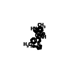 Cc1ccc(S(=O)(=O)NC(CCn2cccc2C#N)C(=O)N2CCC(C)CC2)c2cc[nH]c12